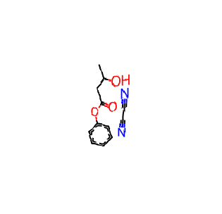 CC(O)CC(=O)Oc1ccccc1.N#CC#N